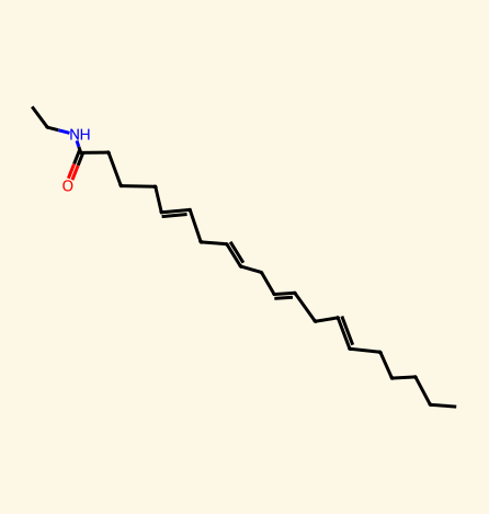 CCCCCC=CCC=CCC=CCC=CCCCC(=O)NCC